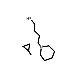 CC1CC1.SCCCCN1CCCCC1